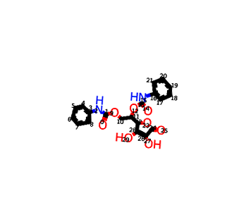 O=C(Nc1ccccc1)OCC(OC(=O)Nc1ccccc1)C1OC(=O)C(O)=C1O